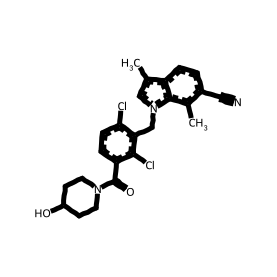 Cc1cn(Cc2c(Cl)ccc(C(=O)N3CCC(O)CC3)c2Cl)c2c(C)c(C#N)ccc12